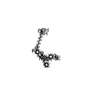 CC(C)(C)[Si](C)(C)Oc1ccc(-c2cn3c(=O)c(Cc4ccc(OCCCCCCCCNC(=O)O)c(F)c4)nc-3c(Cc3ccccc3)[nH]2)cc1